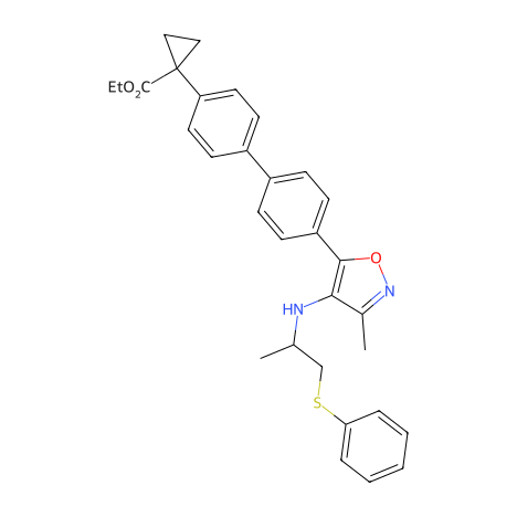 CCOC(=O)C1(c2ccc(-c3ccc(-c4onc(C)c4NC(C)CSc4ccccc4)cc3)cc2)CC1